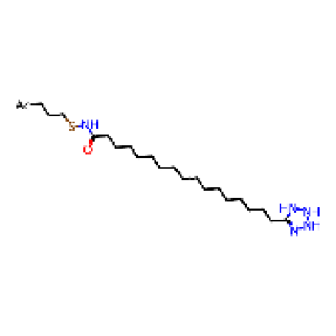 CC(=O)CCCSNC(=O)CCCCCCCCCCCCCCCCC1=NNNN1